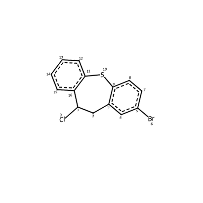 ClC1Cc2cc(Br)ccc2Sc2ccccc21